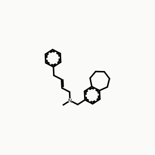 CN(C/C=C/Cc1ccccc1)Cc1ccc2c(c1)CCCCC2